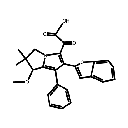 COC1c2c(-c3ccccc3)c(-c3cc4ccccc4o3)c(C(=O)C(=O)O)n2CC1(C)C